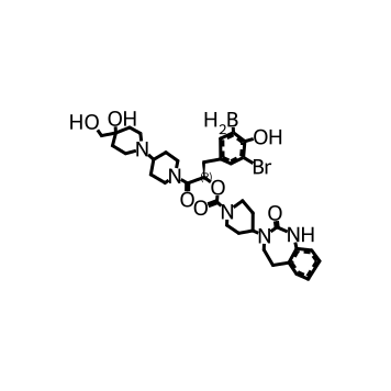 Bc1cc(C[C@@H](OC(=O)N2CCC(N3CCc4ccccc4NC3=O)CC2)C(=O)N2CCC(N3CCC(O)(CO)CC3)CC2)cc(Br)c1O